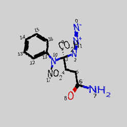 [N-]=[N+]=N[C@](CCC(N)=O)(C(=O)O)N(c1ccccc1)[N+](=O)[O-]